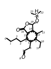 CCCCc1c(CC=O)c(CC)c(C)c2c1C(=O)OC2O[SiH](C)C